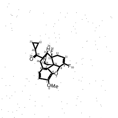 COc1ccc2c3c1OC1C(F)=CC[C@@]4(F)[C@@H](C2)N(C(=O)C2CC2)CC[C@]314